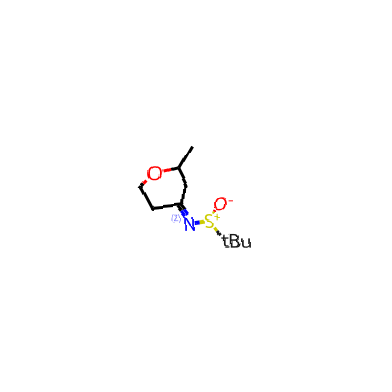 CC1C/C(=N\[S+]([O-])C(C)(C)C)CCO1